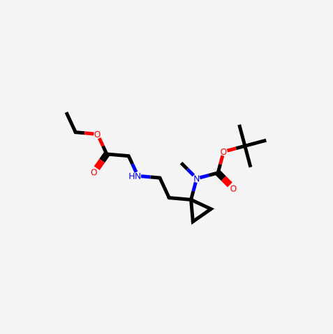 CCOC(=O)CNCCC1(N(C)C(=O)OC(C)(C)C)CC1